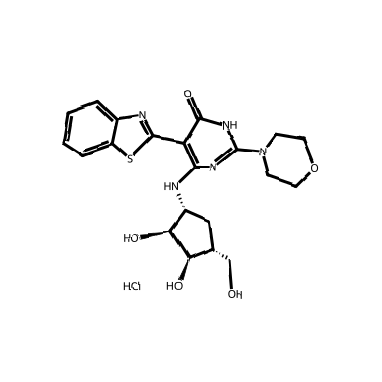 Cl.O=c1[nH]c(N2CCOCC2)nc(N[C@@H]2C[C@H](CO)[C@@H](O)[C@H]2O)c1-c1nc2ccccc2s1